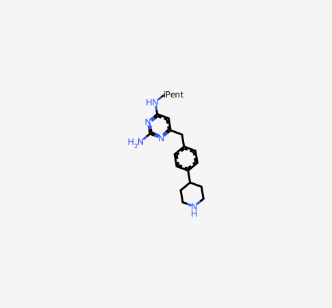 CCCC(C)Nc1cc(Cc2ccc(C3CCNCC3)cc2)nc(N)n1